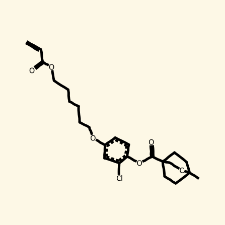 C=CC(=O)OCCCCCCOc1ccc(OC(=O)C23CCC(C)(CC2)CC3)c(Cl)c1